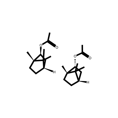 CC(=O)O[C@@H]1C[C@@H]2CC[C@@]1(C)C2(C)C.CC(=O)O[C@H]1C[C@@H]2CC[C@@]1(C)C2(C)C